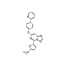 Nc1ccc(-c2nc(Oc3ccc(-c4ccccn4)cc3)cc3ncnn23)o1